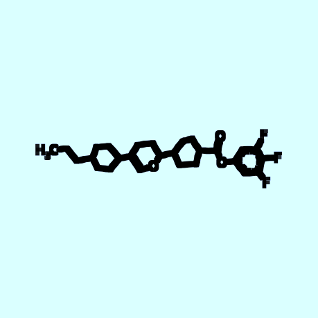 CCCC1CCC(C2=COC(C3CCC(C(=O)Oc4cc(F)c(F)c(F)c4)CC3)CC2)CC1